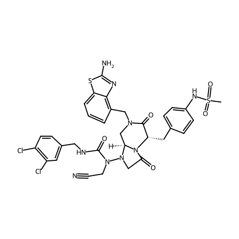 CS(=O)(=O)Nc1ccc(C[C@H]2C(=O)N(Cc3cccc4sc(N)nc34)C[C@H]3N2C(=O)CN3N(CC#N)C(=O)NCc2ccc(Cl)c(Cl)c2)cc1